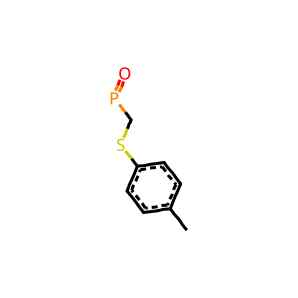 Cc1ccc(SCP=O)cc1